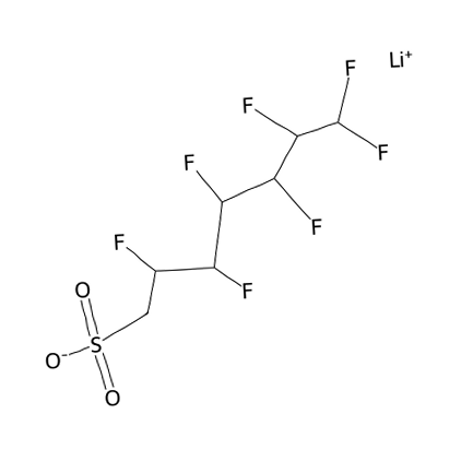 O=S(=O)([O-])CC(F)C(F)C(F)C(F)C(F)C(F)F.[Li+]